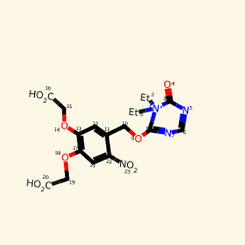 CC[N+]1(CC)C(=O)N=CN=C1OCc1cc(OCC(=O)O)c(OCC(=O)O)cc1[N+](=O)[O-]